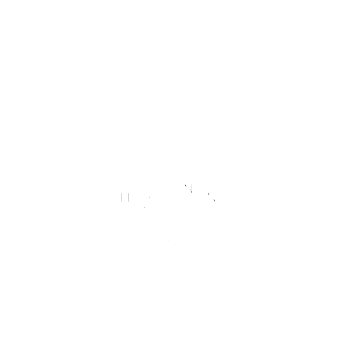 Cc1cc(=O)c(C(=O)O)nn1Cc1ccccc1